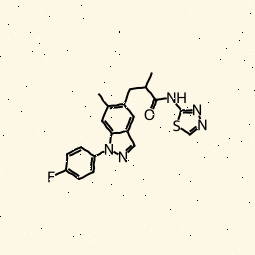 Cc1cc2c(cnn2-c2ccc(F)cc2)cc1CC(C)C(=O)Nc1nncs1